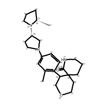 Cc1cc(N2CC[C@H](N3CCC[C@@H]3C)C2)ccc1C1COCCC12CCCNC2=O